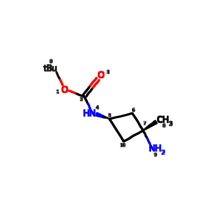 CC(C)(C)OC(=O)N[C@H]1C[C@](C)(N)C1